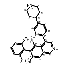 Cc1cccc(F)c1-c1c(C#N)cc2cncc(-c3ccc(N4CCNCC4)cn3)c2c1N